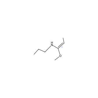 C/C=C(\NCCC)OC